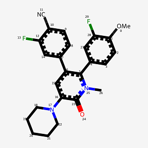 COc1ccc(-c2c(-c3ccc(C#N)c(F)c3)cc(N3CCCCC3)c(=O)n2C)cc1F